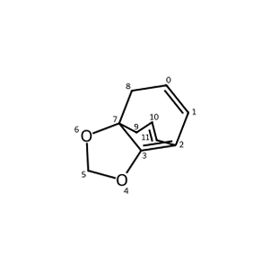 C1=CC2=C3OCOC3(C1)CC=C2